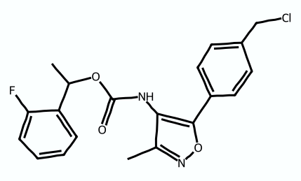 Cc1noc(-c2ccc(CCl)cc2)c1NC(=O)OC(C)c1ccccc1F